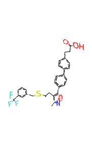 Cc1noc(-c2ccc(-c3ccc(CCC(=O)O)cc3)cc2)c1CCSCc1cccc(C(F)(F)F)c1